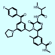 CNC(=O)c1ccc(C)c(-c2cnc(NC(=O)C(C)NC)c(=O)n2Cc2cc(C(=O)c3ccc(F)cc3)cc(N3CCCC3)c2)c1